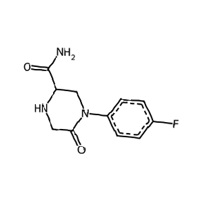 NC(=O)C1CN(c2ccc(F)cc2)C(=O)CN1